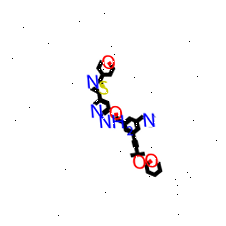 CN(C)Cc1cc(C#CC(C)(C)OC2CCCCO2)cc(COc2cc(-c3cnc(C4CCOCC4)s3)cnc2N)c1